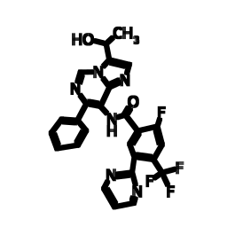 CC(O)c1cnc2c(NC(=O)c3cc(-c4ncccn4)c(C(F)(F)F)cc3F)c(-c3ccccc3)ncn12